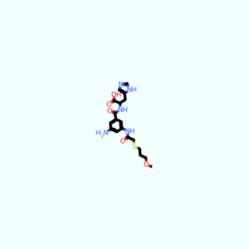 COCCCSCC(=O)Nc1cc(N)cc(C(=O)NC(Cc2cnc[nH]2)C(=O)O)c1